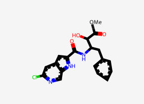 COC(=O)C(O)C(Cc1ccccc1)NC(=O)c1cc2cc(Cl)ncc2[nH]1